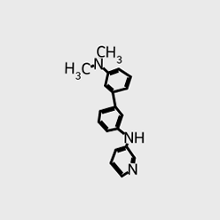 CN(C)c1cccc(-c2cccc(Nc3cccnc3)c2)c1